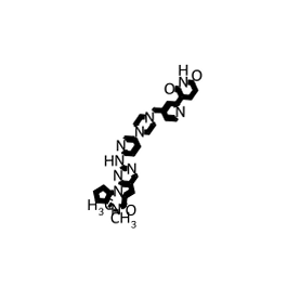 CN(C)C(=O)c1cc2cnc(Nc3ccc(N4CCN(Cc5ccnc(C6CCC(=O)NC6=O)c5)CC4)cn3)nc2n1C1CCCC1